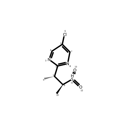 C[C@H](c1ncc(Cl)cn1)[C@H](C)[SH](=O)=O